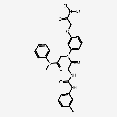 CCN(CC)C(=O)COc1cccc(N(CC(=O)N(C)c2ccccc2)C(=O)CNC(=O)Nc2cccc(C)c2)c1